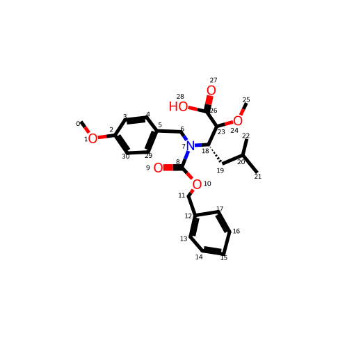 COc1ccc(CN(C(=O)OCc2ccccc2)[C@@H](CC(C)C)C(OC)C(=O)O)cc1